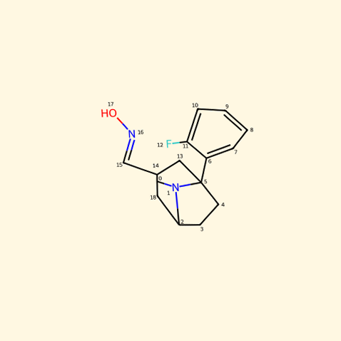 CN1C2CCC1(c1ccccc1F)CC(C=NO)C2